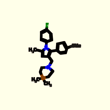 CSc1ccc(-c2c(CN3CCS(C)(C)CC3)cc(C)n2-c2ccc(F)cc2)cc1